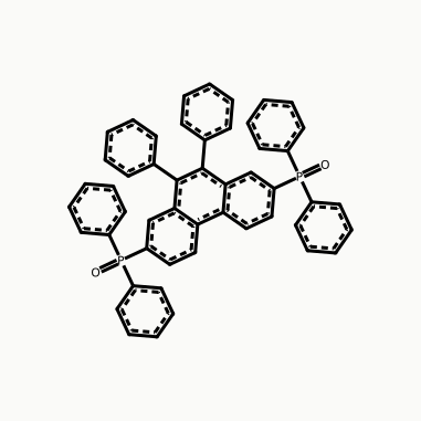 O=P(c1ccccc1)(c1ccccc1)c1ccc2c(c1)c(-c1ccccc1)c(-c1ccccc1)c1cc(P(=O)(c3ccccc3)c3ccccc3)ccc12